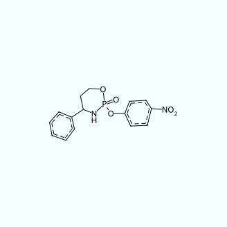 O=[N+]([O-])c1ccc(OP2(=O)NC(c3ccccc3)CCO2)cc1